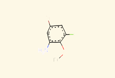 CCOc1c(N)cc(Br)cc1F